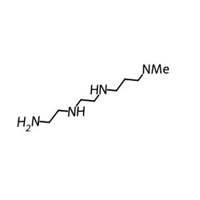 CNCCCNCCNCCN